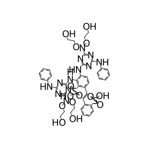 O=S(=O)(O)c1ccccc1C=Cc1ccc(Nc2nc(Nc3ccccc3)nc(N(OCCO)OCCO)n2)c(Nc2nc(Nc3ccccc3)nc(N(OCCO)OCCO)n2)c1S(=O)(=O)O